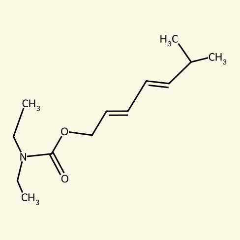 CCN(CC)C(=O)OCC=CC=CC(C)C